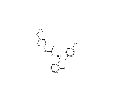 N#Cc1ccc(CC(NNC(=O)Nc2ccc(OC(F)(F)F)cc2)c2ccccc2I)cc1